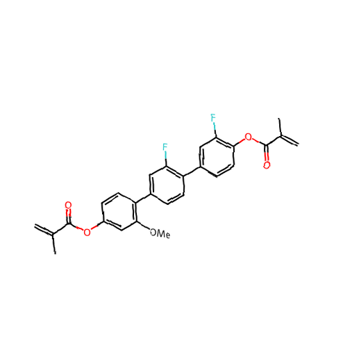 C=C(C)C(=O)Oc1ccc(-c2ccc(-c3ccc(OC(=O)C(=C)C)c(F)c3)c(F)c2)c(OC)c1